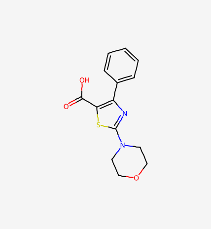 O=C(O)c1sc(N2CCOCC2)nc1-c1ccccc1